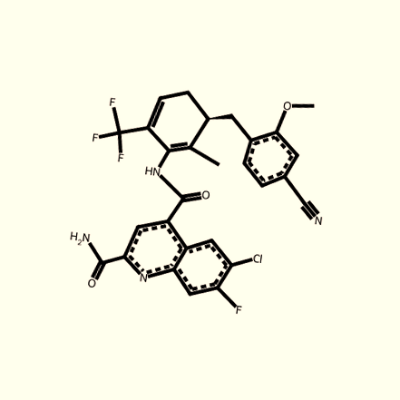 COc1cc(C#N)ccc1C[C@@H]1CC=C(C(F)(F)F)C(NC(=O)c2cc(C(N)=O)nc3cc(F)c(Cl)cc23)=C1C